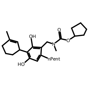 CCCCCc1cc(O)c(C2C=C(C)CCC2)c(O)c1CN(C)C(=O)OC1CCCC1